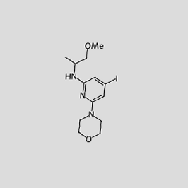 COCC(C)Nc1cc(I)cc(N2CCOCC2)n1